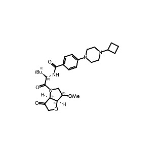 CC[C@H](C)[C@H](NC(=O)c1ccc(N2CCN(C3CCC3)CC2)cc1)C(=O)N1C[C@@H](OC)[C@H]2OCC(=O)[C@H]21